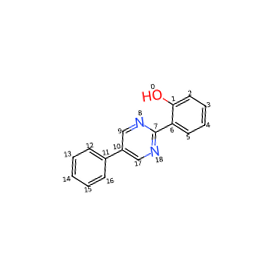 Oc1ccccc1-c1ncc(-c2ccccc2)cn1